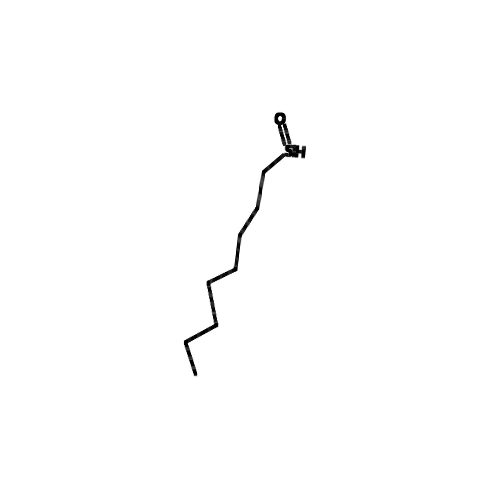 CCCCCCCC[SiH]=O